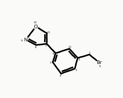 BrCc1cccc(-c2cnoc2)c1